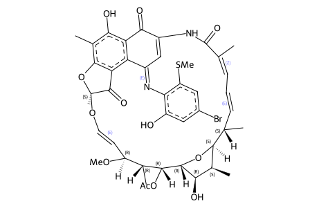 CO[C@H]1/C=C/O[C@@]2(C)Oc3c(C)c(O)c4c(c3C2=O)/C(=N/c2c(O)cc(Br)cc2SC)C=C(NC(=O)/C(C)=C\C=C\[C@H](C)[C@@H]2O[C@H]([C@H](O)[C@@H]2C)[C@H](OC(C)=O)[C@@H]1C)C4=O